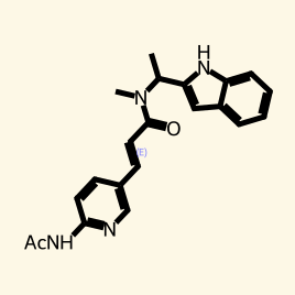 CC(=O)Nc1ccc(/C=C/C(=O)N(C)C(C)c2cc3ccccc3[nH]2)cn1